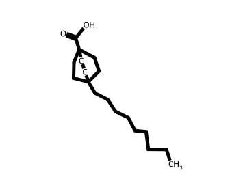 CCCCCCCCCC12CCC(C(=O)O)(CC1)CC2